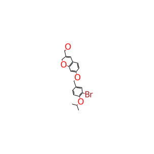 CC(C)Oc1ccc(COc2ccc3c(c2)OCC(C=O)=C3)cc1Br